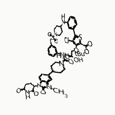 C=C(O)COc1c(C(=O)OC(C)(C)C)sc(-c2cccc(NC3CCN(S(=O)(=O)Cc4cccc(NC(=O)N5CCC(c6ccc7c(c6)n(C)c(=O)n7C6CCC(=O)NC6=O)CC5)c4)CC3)c2)c1Cl